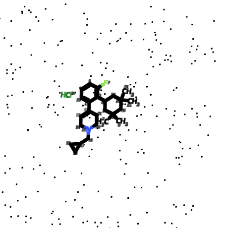 CC1(C)CC(c2c(F)cccc2C2=CCN(CC3CC3)CC2)CC(C)(C)C1.Cl